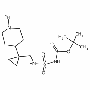 [2H]N1CCC(C2(CNS(=O)(=O)NC(=O)OC(C)(C)C)CC2)CC1